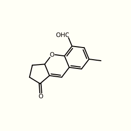 Cc1cc(C=O)c2c(c1)C=C1C(=O)CCC1O2